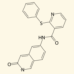 O=C1C=c2cc(NC(=O)c3cccnc3Sc3ccccc3)ccc2=C[N]1